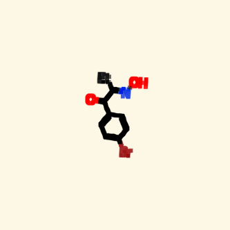 CCC(=NO)C(=O)c1ccc(Br)cc1